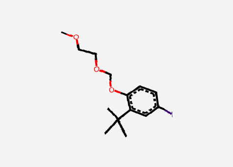 COCCOCOc1ccc(I)cc1C(C)(C)C